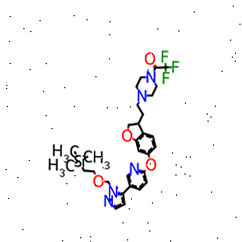 C[Si](C)(C)CCOCn1nccc1-c1ccc(Oc2ccc3c(c2)OCC3CCN2CCN(C(=O)C(F)(F)F)CC2)nc1